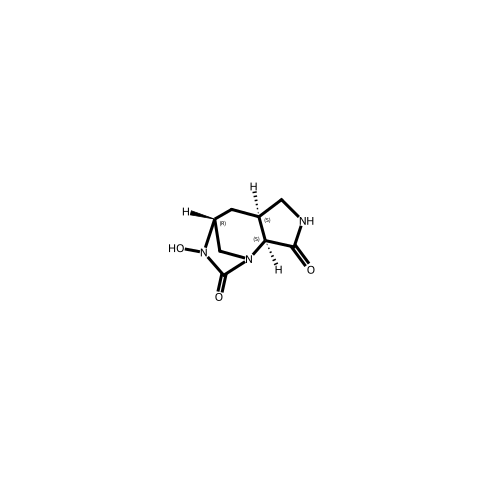 O=C1NC[C@@H]2C[C@@H]3CN(C(=O)N3O)[C@H]12